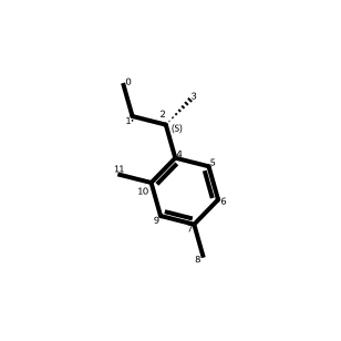 C[CH][C@H](C)c1ccc(C)cc1C